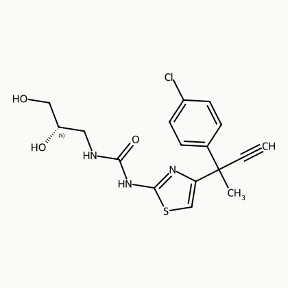 C#CC(C)(c1ccc(Cl)cc1)c1csc(NC(=O)NC[C@H](O)CO)n1